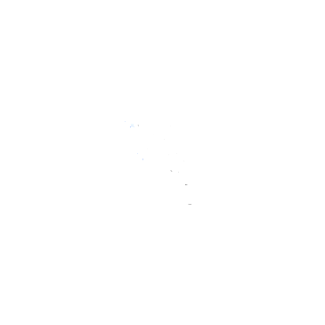 CCCCCc1ccc(-c2ccc(C34CCC(CCCCC)(CC3)CC4)c(F)c2)c(C#N)c1C#N